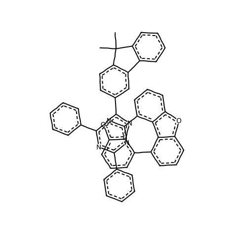 CC1(C)c2ccccc2-c2cc(-c3nc4c(-c5cccc6oc7cccc(-c8nc(-c9ccccc9)nc(-c9ccccc9)n8)c7c56)cccc4o3)ccc21